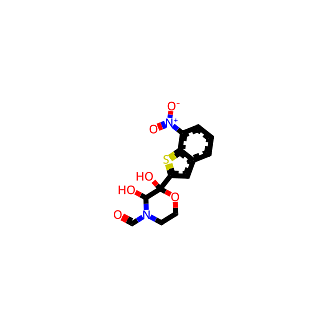 O=CN1CCOC(O)(c2cc3cccc([N+](=O)[O-])c3s2)C1O